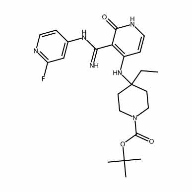 CCC1(Nc2cc[nH]c(=O)c2C(=N)Nc2ccnc(F)c2)CCN(C(=O)OC(C)(C)C)CC1